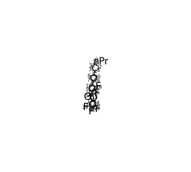 CCCC1CCC(c2ccc(-c3ccc(C(=O)Oc4cc(F)c(F)c(F)c4)c(F)c3F)cc2)CC1